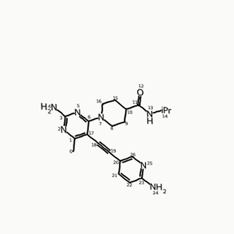 Cc1nc(N)nc(N2CCC(C(=O)NC(C)C)CC2)c1C#Cc1ccc(N)nc1